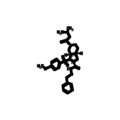 COc1ccc(S(=O)(=O)N2[C@H](C(=O)NOCc3ccccc3)C[C@@H]3CCN(C(=O)CC(C)C)C[C@@H]32)cc1